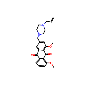 C=CCN1CCN(Cc2cc(OC)c3c(c2)C(=O)c2cccc(OC)c2C3=O)CC1